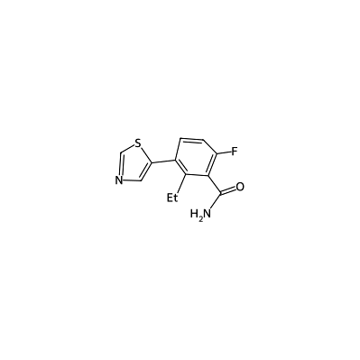 CCc1c(-c2cncs2)ccc(F)c1C(N)=O